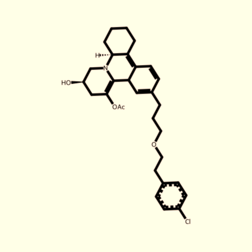 CC(=O)OC1=C2C3C=C(CCCOCCc4ccc(Cl)cc4)C=CC3=C3CCCC[C@@H]3N2C[C@H](O)C1